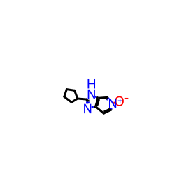 [O-][n+]1ccc2nc(C3CCCC3)[nH]c2c1